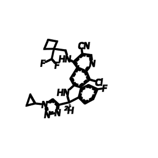 [2H][C@](Nc1cc(Cl)c2ncc(C#N)c(NCC3(C(F)F)CCC3)c2c1)(c1ccc(F)cc1)c1cn(C2CC2)nn1